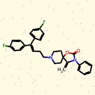 C=C1N(c2ccccc2)C(=O)OC12CCN(CCC=C(c1ccc(F)cc1)c1ccc(F)cc1)CC2